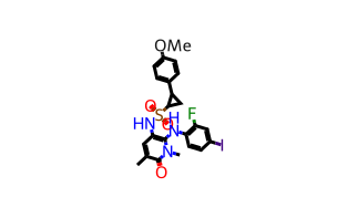 COc1ccc(C2CC2S(=O)(=O)Nc2cc(C)c(=O)n(C)c2Nc2ccc(I)cc2F)cc1